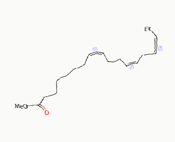 CC/C=C\C/C=C\CC/C=C\CCCCCCC(=O)OC